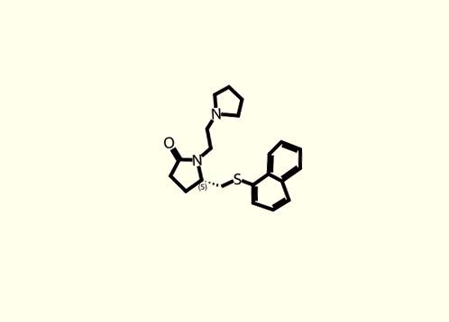 O=C1CC[C@@H](CSc2cccc3ccccc23)N1CCN1CCCC1